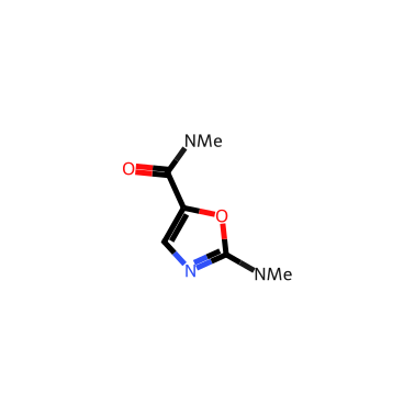 CNC(=O)c1cnc(NC)o1